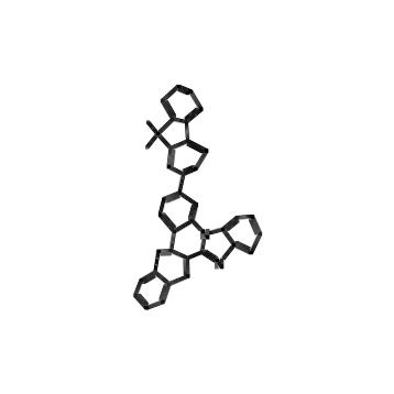 CC1(C)c2ccccc2-c2ccc(-c3ccc4c5cc6ccccc6cc5c5nc6ccccc6n5c4c3)cc21